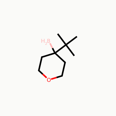 BC1(C(C)(C)C)CCOCC1